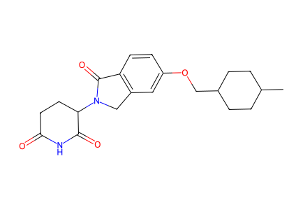 CC1CCC(COc2ccc3c(c2)CN(C2CCC(=O)NC2=O)C3=O)CC1